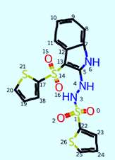 O=S(=O)(NNc1[nH]c2ccccc2c1S(=O)(=O)c1cccs1)c1cccs1